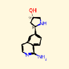 Nc1nccc2cc([C@H]3C[C@H](O)CN3)ccc12